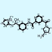 C[C@H](Sc1nncn1C)c1cccc(NC(=O)c2cc(C(=O)N3CC[C@@H](N)C3)ccn2)c1